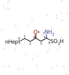 CCCCCCCCCC(=O)CC(N)S(=O)(=O)O